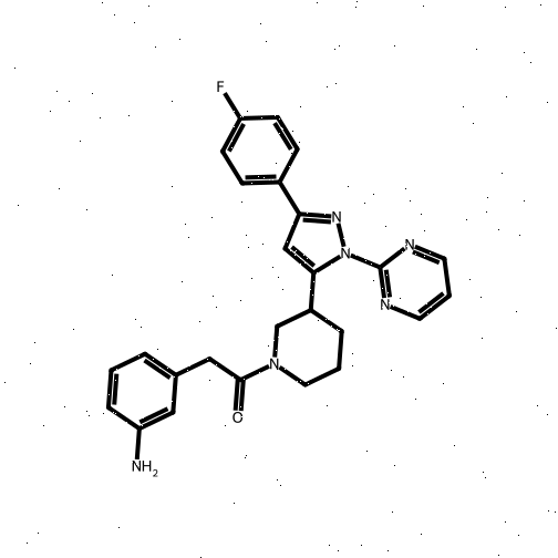 Nc1cccc(CC(=O)N2CCCC(c3cc(-c4ccc(F)cc4)nn3-c3ncccn3)C2)c1